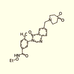 CCONC(=O)c1ccc(C)c(-n2cnc3ccc(CN4CCS(=O)(=O)CC4)cc3c2=O)c1